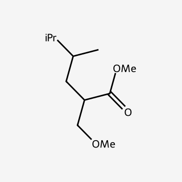 COCC(CC(C)C(C)C)C(=O)OC